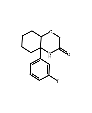 O=C1COC2CCCCC2(c2cccc(F)c2)N1